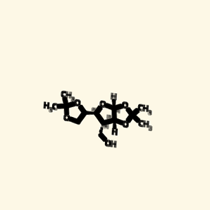 CC1(C)OCC([C@H]2O[C@@H]3OC(C)(C)O[C@@H]3[C@@H]2CO)O1